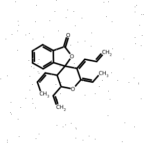 C=C/C=C1\C(=C/C)OC(C=C)C(/C=C\C)C12OC(=O)c1ccccc12